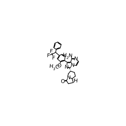 COc1cc(C(c2ccccc2)C(F)(F)F)ccc1-c1nc([C@@H]2CC[C@H]3CCC(=O)N3C2)n2ccnc(N)c12